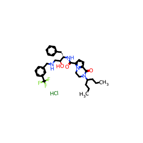 CCCC(CCC)N1CCn2c(C(=O)N[C@@H](Cc3ccccc3)[C@@H](O)CNCc3cccc(C(F)(F)F)c3)ccc2C1=O.Cl